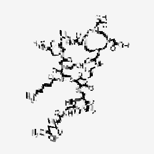 CCCCCC(=O)NC(CSC1=C(SCC(NC(=O)CNC(=O)CNC(=O)CC(C)O)C(N)=O)C(=O)N(CCNC(=O)CN2CCN(CC(=O)O)CCN(CC(=O)O)CCN(CC(=O)O)CC2)C1=O)C(=O)N(CCC)CC(=O)N(CCC)CC(=O)NC